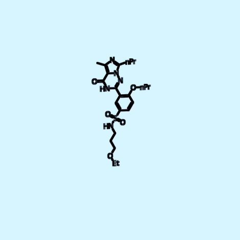 CCCOc1ccc(S(=O)(=O)NCCCOCC)cc1-c1nn2c(CCC)nc(C)c2c(=O)[nH]1